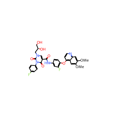 COc1cc2nccc(Oc3ccc(NC(=O)c4cn(C[C@H](O)CO)c(=O)n(-c5ccc(F)cc5)c4=O)cc3F)c2cc1OC